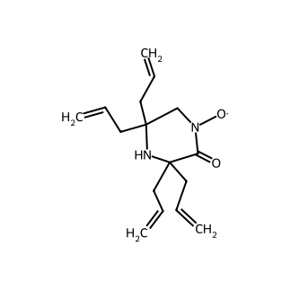 C=CCC1(CC=C)CN([O])C(=O)C(CC=C)(CC=C)N1